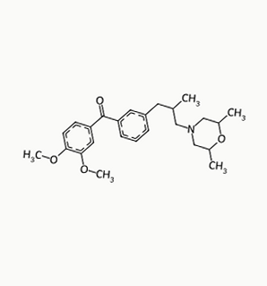 COc1ccc(C(=O)c2cccc(CC(C)CN3CC(C)OC(C)C3)c2)cc1OC